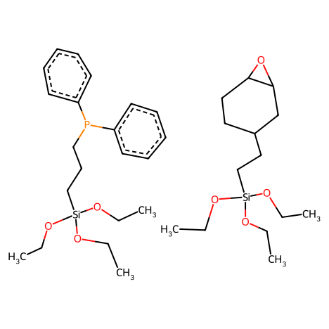 CCO[Si](CCC1CCC2OC2C1)(OCC)OCC.CCO[Si](CCCP(c1ccccc1)c1ccccc1)(OCC)OCC